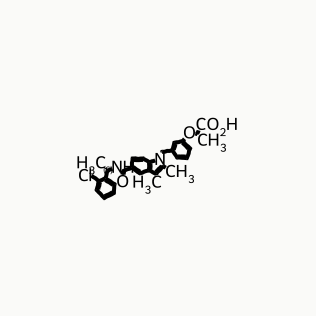 Cc1c(C)n(Cc2cccc(OC(C)C(=O)O)c2)c2ccc(C(=O)N[C@@H](C)c3ccccc3Cl)cc12